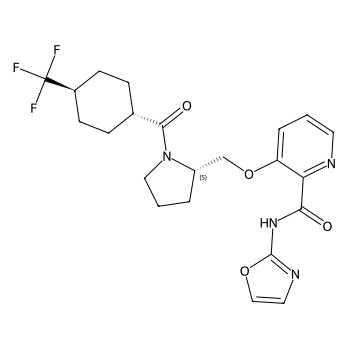 O=C(Nc1ncco1)c1ncccc1OC[C@@H]1CCCN1C(=O)[C@H]1CC[C@H](C(F)(F)F)CC1